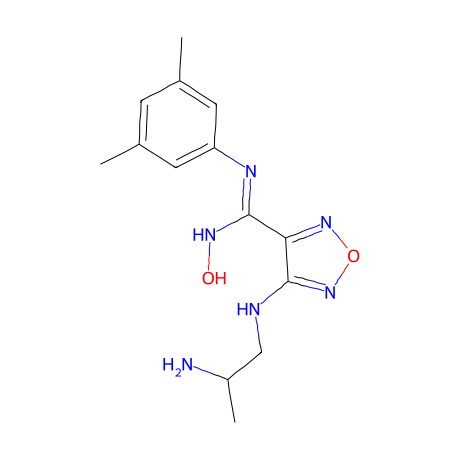 Cc1cc(C)cc(/N=C(\NO)c2nonc2NCC(C)N)c1